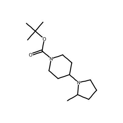 CC1CCCN1C1CCN(C(=O)OC(C)(C)C)CC1